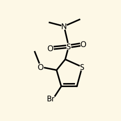 COC1C(Br)=CSC1S(=O)(=O)N(C)C